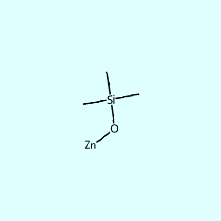 C[Si](C)(C)[O][Zn]